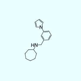 c1cc(CNC2CCCCCC2)cc(-n2cccc2)c1